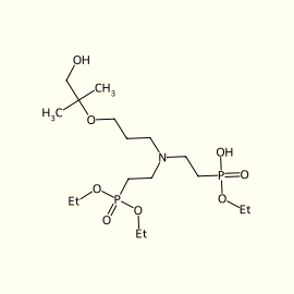 CCOP(=O)(O)CCN(CCCOC(C)(C)CO)CCP(=O)(OCC)OCC